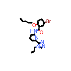 C=CCCCOc1ccc(Br)cc1C(=O)Nc1cccc(-c2nncn2CC=C)n1